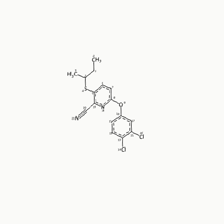 CCC(C)Sc1ccc(Oc2ccc(Cl)c(Cl)c2)nc1C#N